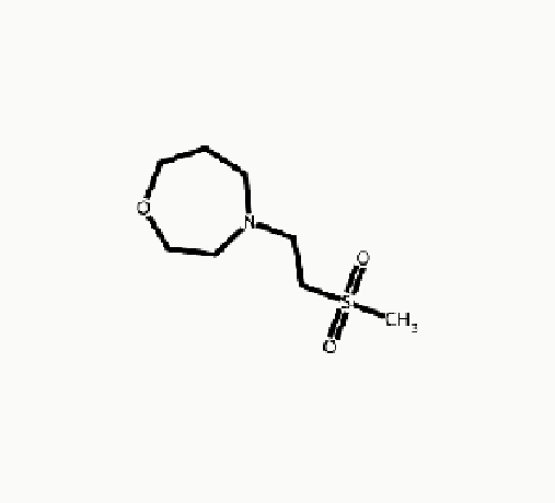 CS(=O)(=O)CCN1CCCOCC1